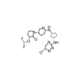 O=c1c(OC(F)F)cccn1-c1ccc(N[C@H]2CC[C@H](Nc3ncc(C4CC4)nn3)C2)nc1